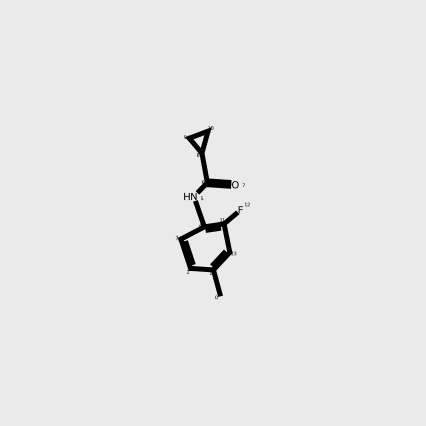 Cc1ccc(NC(=O)C2CC2)c(F)c1